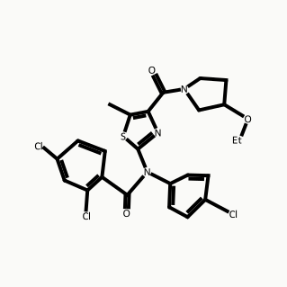 CCOC1CCN(C(=O)c2nc(N(C(=O)c3ccc(Cl)cc3Cl)c3ccc(Cl)cc3)sc2C)C1